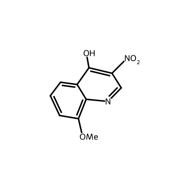 COc1cccc2c(O)c([N+](=O)[O-])cnc12